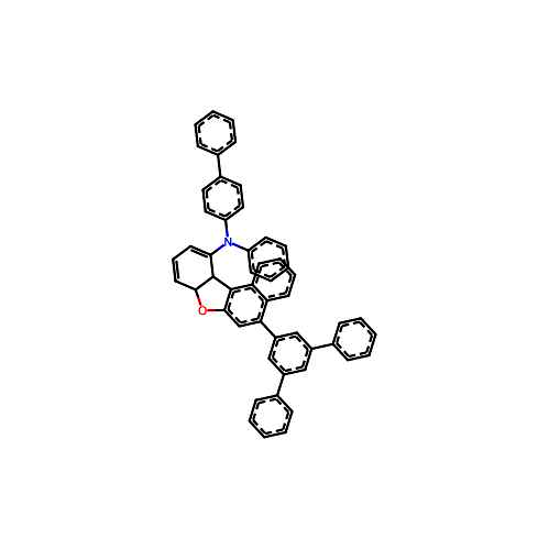 C1=CC2Oc3cc(-c4cc(-c5ccccc5)cc(-c5ccccc5)c4)c4ccccc4c3C2C(N(c2ccccc2)c2ccc(-c3ccccc3)cc2)=C1